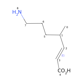 CC(/C=C/C(=O)O)CCCN